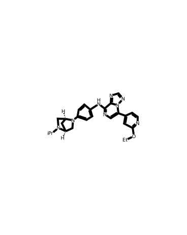 CCOc1cc(-c2cnc(Nc3ccc(N4C[C@@H]5C[C@H]4CN5C(C)C)cc3)c3ncnn23)ccn1